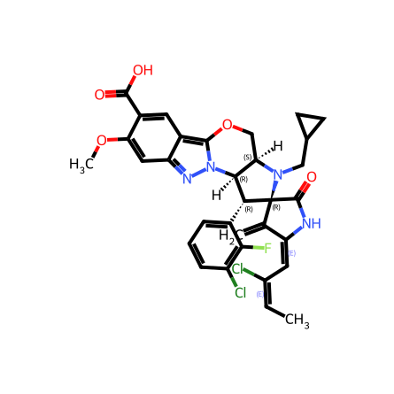 C=C1/C(=C\C(Cl)=C/C)NC(=O)[C@@]12[C@H](c1cccc(Cl)c1F)[C@@H]1[C@@H](COc3c4cc(C(=O)O)c(OC)cc4nn31)N2CC1CC1